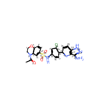 CC(=O)N1CCOc2ccc(S(=O)(=O)Nc3ccc(-c4ccc5[nH]nc(N)c5n4)c(Cl)c3)cc21